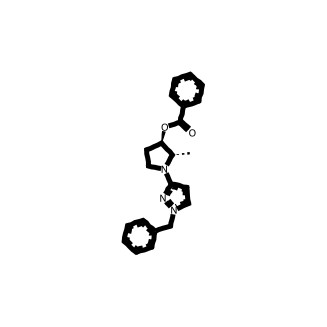 C[C@H]1[C@H](OC(=O)c2ccccc2)CCN1c1ccn(Cc2ccccc2)n1